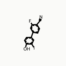 N#Cc1ccc(-c2ccc(O)c(I)c2)cc1F